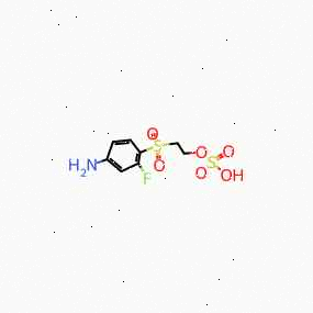 Nc1ccc(S(=O)(=O)CCOS(=O)(=O)O)c(F)c1